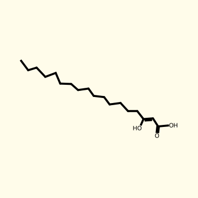 CCCCCCCCCCCCCCC/C(O)=C/C(=O)O